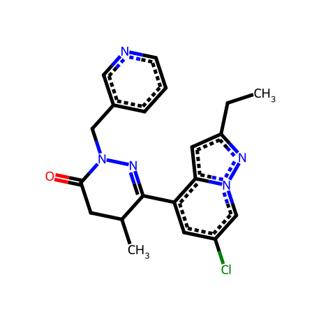 CCc1cc2c(C3=NN(Cc4cccnc4)C(=O)CC3C)cc(Cl)cn2n1